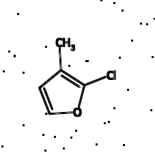 Cc1c[c]oc1Cl